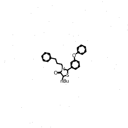 CCCCC1SC(c2cccc(Oc3ccccc3)c2)N(CCCc2ccccc2)C1=O